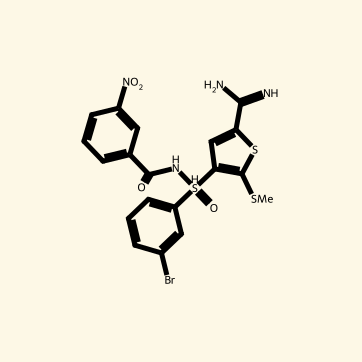 CSc1sc(C(=N)N)cc1[SH](=O)(NC(=O)c1cccc([N+](=O)[O-])c1)c1cccc(Br)c1